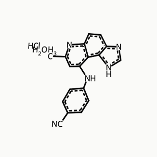 Cc1cc(Nc2ccc(C#N)cc2)c2c(ccc3nc[nH]c32)n1.Cl.O